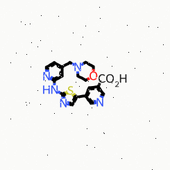 O=C(O)c1cncc(-c2cnc(Nc3cc(CN4CCOCC4)ccn3)s2)c1